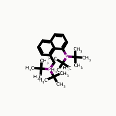 CC(C)(C)P(Cc1cccc2cccc(P(C(C)(C)C)C(C)(C)C)c12)C(C)(C)C